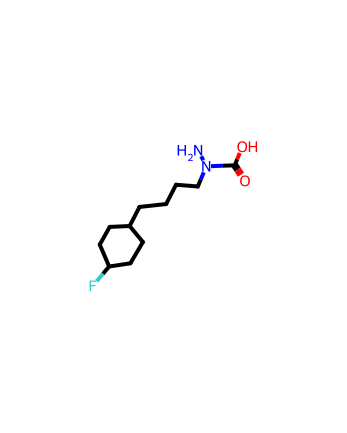 NN(CCCCC1CCC(F)CC1)C(=O)O